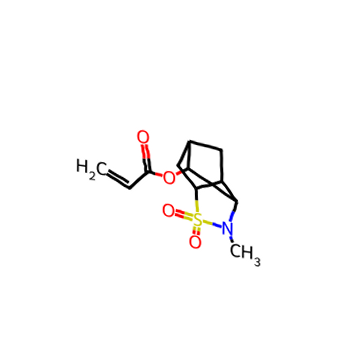 C=CC(=O)OC1C2CC3C1N(C)S(=O)(=O)C3C2